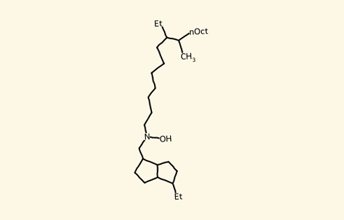 CCCCCCCCC(C)C(CC)CCCCCCCN(O)CC1CCC2C(CC)CCC12